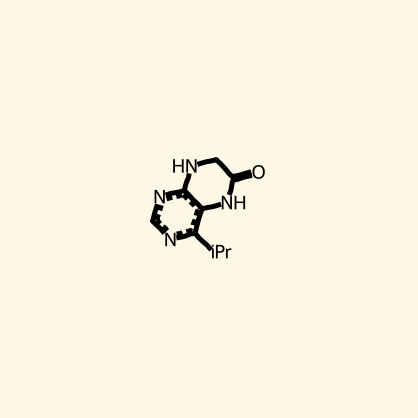 CC(C)c1ncnc2c1NC(=O)CN2